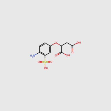 Nc1ccc(OC(CC(=O)O)C(=O)O)cc1S(=O)(=O)O